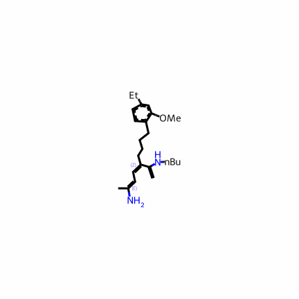 C=C(NCCCC)/C(=C\C=C(/C)N)CCCCc1ccc(CC)cc1OC